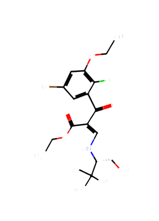 CCOC(=O)C(=CN[C@H](CO)C(C)(C)C)C(=O)c1cc(Br)cc(OCC)c1Cl